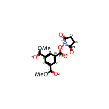 COC(=O)c1cc(C(=O)OC)cc(C(=O)ON2C(=O)CCC2=O)c1